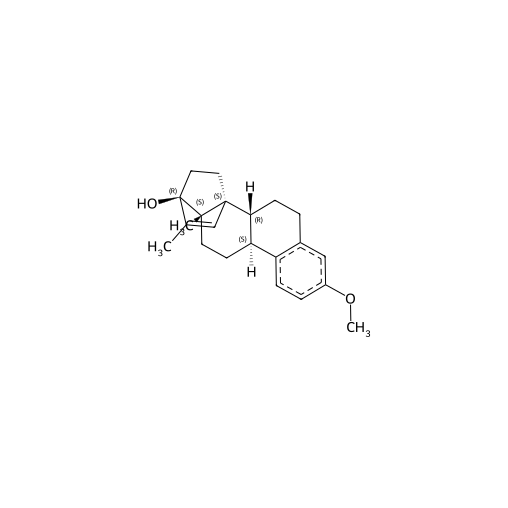 COc1ccc2c(c1)CC[C@@H]1[C@@H]2CC[C@]2(C)[C@@]3(O)CC[C@@]12C=C3C